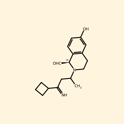 CC(CC(=N)C1CCC1)N1CCc2cc(O)ccc2[C@@H]1C=O